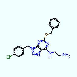 NCCNc1nc(SCc2ccccc2)nc2c1nnn2Cc1ccc(Cl)cc1